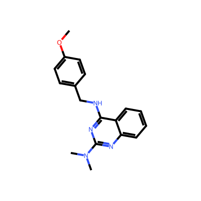 COc1ccc(CNc2nc(N(C)C)nc3ccccc23)cc1